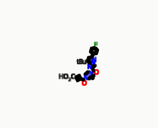 CC(C)(C)c1cc(-c2ccc(F)cc2)nn2cc(C(=O)N3CCN(C(=O)C45CC(C(=O)O)(C4)C5)CC3(C)C)nc12